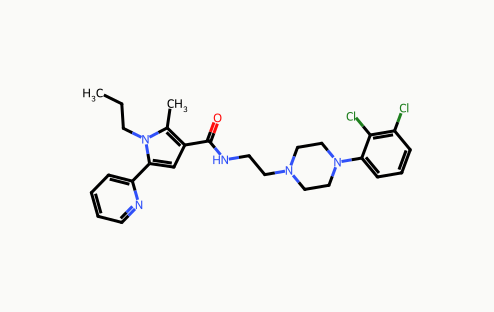 CCCn1c(-c2ccccn2)cc(C(=O)NCCN2CCN(c3cccc(Cl)c3Cl)CC2)c1C